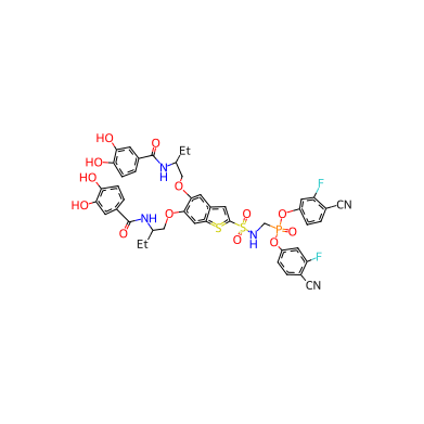 CCC(COc1cc2cc(S(=O)(=O)NCP(=O)(Oc3ccc(C#N)c(F)c3)Oc3ccc(C#N)c(F)c3)sc2cc1OCC(CC)NC(=O)c1ccc(O)c(O)c1)NC(=O)c1ccc(O)c(O)c1